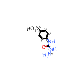 NNC(=O)Nc1ccc(S(=O)(=O)O)cc1